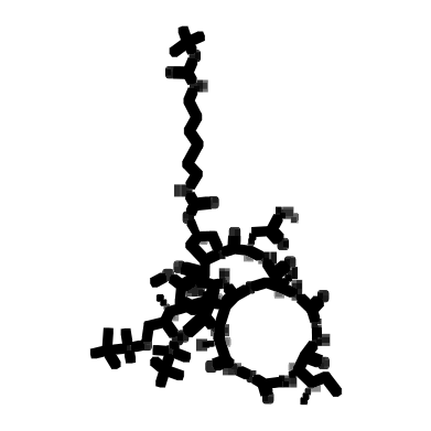 CC[C@H](C)[C@@H]1NC(=O)CNC(=O)[C@@H]2Cc3c([nH]c4cc(OC)ccc34)SC[C@H](NC(=O)CNC1=O)C(=O)N[C@@H](CC(N)=O)C(=O)N1C[C@H](OC(=O)NCCCCCCNC(=O)OC(C)(C)C)CC1C(=O)N[C@@H]([C@@H](C)C(CO[Si](C)(C)C(C)(C)C)O[Si](C)(C)C(C)(C)C)C(=O)N2